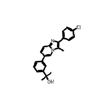 Cc1c(-c2ccc(Cl)cc2)nc2ccc(-c3cccc(C(C)(C)O)c3)cn12